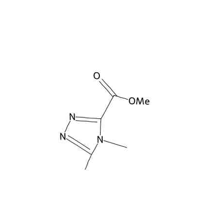 COC(=O)c1nnc(C)n1C